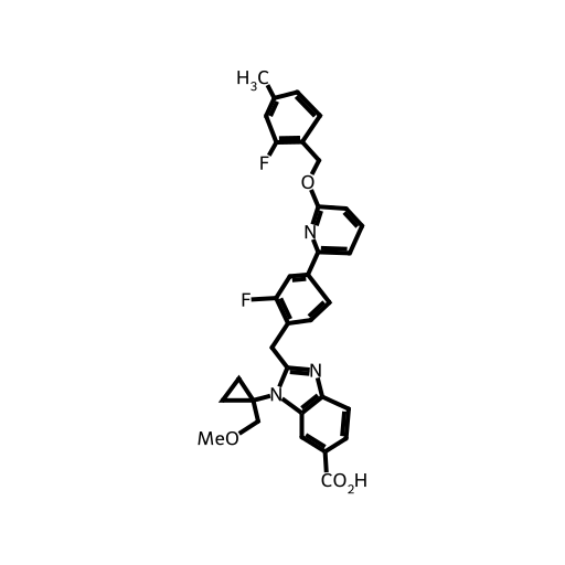 COCC1(n2c(Cc3ccc(-c4cccc(OCc5ccc(C)cc5F)n4)cc3F)nc3ccc(C(=O)O)cc32)CC1